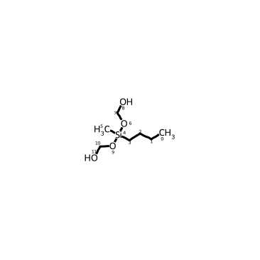 CCCC[Si](C)(OCO)OCO